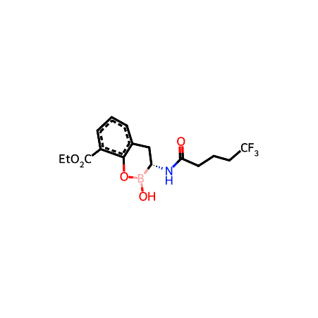 CCOC(=O)c1cccc2c1OB(O)[C@@H](NC(=O)CCCC(F)(F)F)C2